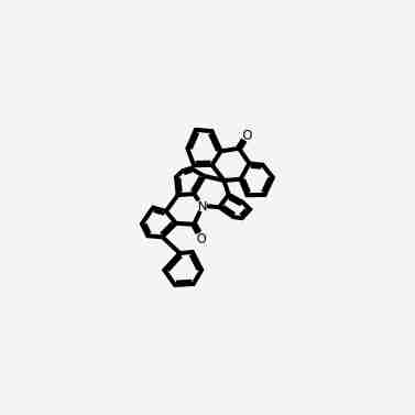 O=C1c2ccccc2C2(c3ccccc31)c1ccccc1-n1c(=O)c3c(-c4ccccc4)cccc3c3cccc2c31